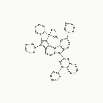 CC1(C)c2ccccc2-c2c1c1c3c4cc(-c5cccnc5)ccc4n(-c4nc(-c5ccccc5)c5ccccc5n4)c3ccc1n2-c1ccccc1